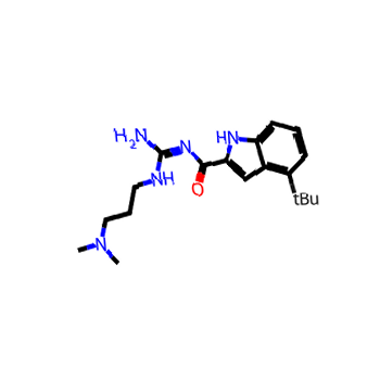 CN(C)CCCNC(N)=NC(=O)c1cc2c(C(C)(C)C)cccc2[nH]1